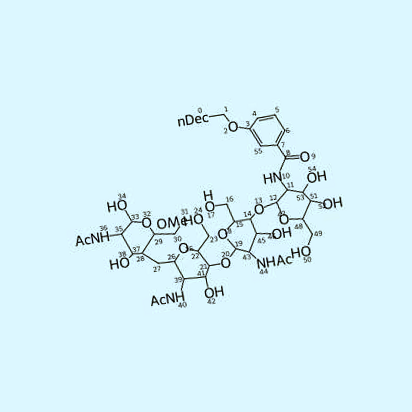 CCCCCCCCCCCOc1cccc(C(=O)NC2C(OC3C(CO)OC(OC4C(CO)OC(CC5C(COC)OC(O)C(NC(C)=O)C5O)C(NC(C)=O)C4O)C(NC(C)=O)C3O)OC(CO)C(O)C2O)c1